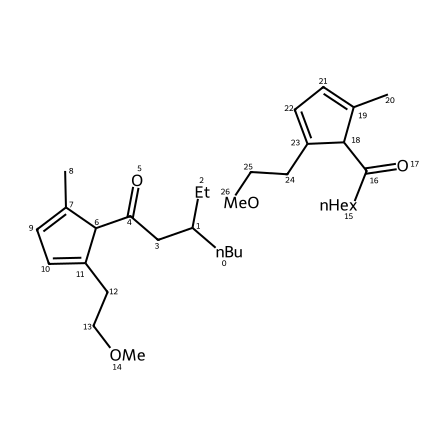 CCCCC(CC)CC(=O)C1C(C)=CC=C1CCOC.CCCCCCC(=O)C1C(C)=CC=C1CCOC